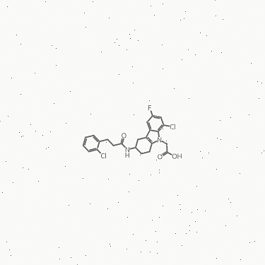 O=C(O)Cn1c2c(c3cc(F)cc(Cl)c31)CC(NC(=O)CCc1ccccc1Cl)CC2